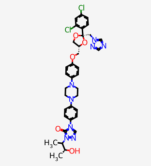 CC([C@H](C)O)n1ncn(-c2ccc(N3CCN(c4ccc(OC[C@@H]5CO[C@@](Cn6cncn6)(c6ccc(Cl)cc6Cl)O5)cc4)CC3)cc2)c1=O